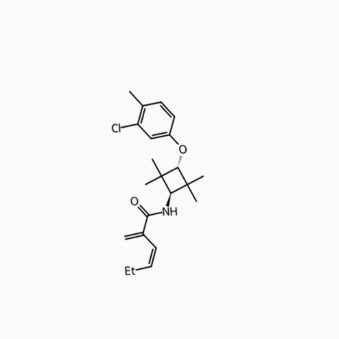 C=C(/C=C\CC)C(=O)N[C@H]1C(C)(C)[C@H](Oc2ccc(C)c(Cl)c2)C1(C)C